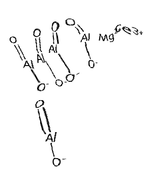 [Ce+3].[Mg+2].[O]=[Al][O-].[O]=[Al][O-].[O]=[Al][O-].[O]=[Al][O-].[O]=[Al][O-]